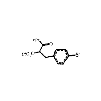 CCCC(=O)C(Cc1ccc(Br)cc1)C(=O)OCC